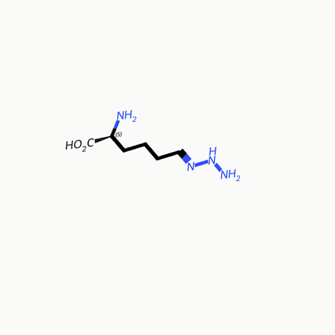 NNN=CCCC[C@H](N)C(=O)O